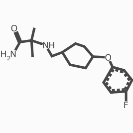 CC(C)(NCC1CCC(Oc2ccc(F)cc2)CC1)C(N)=O